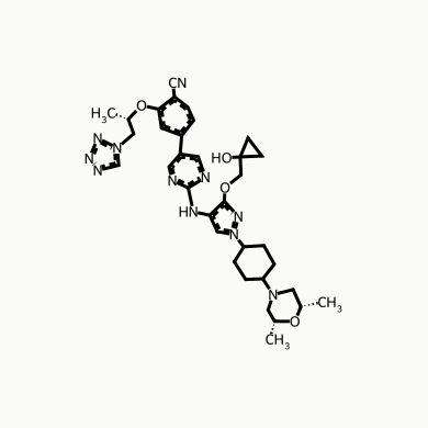 C[C@@H]1CN(C2CCC(n3cc(Nc4ncc(-c5ccc(C#N)c(O[C@@H](C)Cn6cnnn6)c5)cn4)c(OCC4(O)CC4)n3)CC2)C[C@H](C)O1